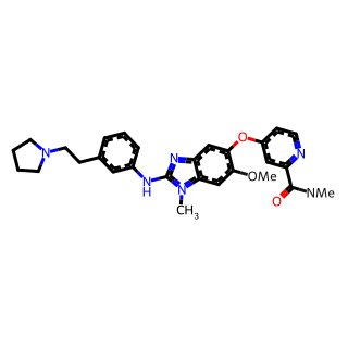 CNC(=O)c1cc(Oc2cc3nc(Nc4cccc(CCN5CCCC5)c4)n(C)c3cc2OC)ccn1